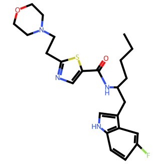 CCCCC(Cc1c[nH]c2ccc(F)cc12)NC(=O)c1cnc(CCN2CCOCC2)s1